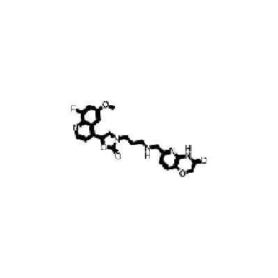 COc1cc(F)c2nccc(C3CN(CCCNCc4ccc5c(n4)NC(=O)CO5)C(=O)O3)c2c1